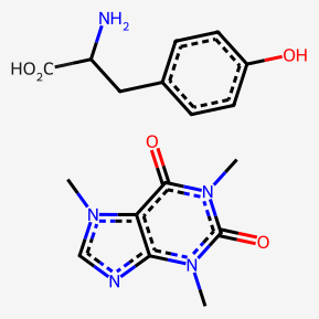 Cn1c(=O)c2c(ncn2C)n(C)c1=O.NC(Cc1ccc(O)cc1)C(=O)O